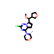 COC(c1ccc2c(N3CCOC[C@H]3C)nc(Cl)nn12)C1CCOC1